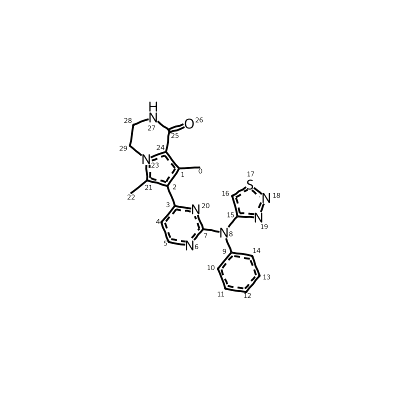 Cc1c(-c2ccnc(N(c3ccccc3)c3csnn3)n2)c(C)n2c1C(=O)NCC2